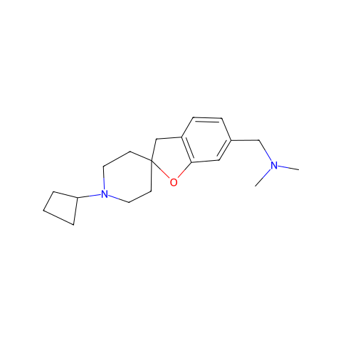 CN(C)Cc1ccc2c(c1)OC1(CCN(C3CCC3)CC1)C2